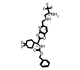 N[C@@H](CNCc1ccc2oc([C@@H](NC(=O)OCc3ccccc3)C3CCC(F)(F)CC3)nc2n1)C(F)(F)F